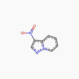 O=[N+]([O-])c1cnn2ccccc12